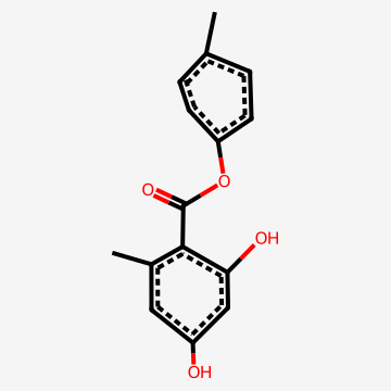 Cc1ccc(OC(=O)c2c(C)cc(O)cc2O)cc1